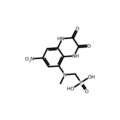 CN(CP(=O)(O)O)c1cc([N+](=O)[O-])cc2[nH]c(=O)c(=O)[nH]c12